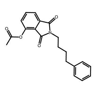 CC(=O)Oc1cccc2c1C(=O)N(CCCCc1ccccc1)C2=O